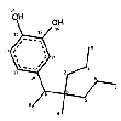 CCCC(C)(CCC)C(C)c1ccc(O)c(O)c1